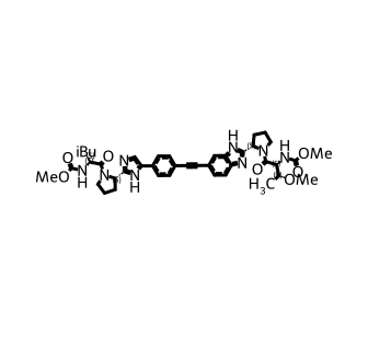 CC[C@H](C)[C@H](NC(=O)OC)C(=O)N1CCC[C@H]1c1ncc(-c2ccc(C#Cc3ccc4nc([C@@H]5CCCN5C(=O)[C@@H](NC(=O)OC)[C@@H](C)OC)[nH]c4c3)cc2)[nH]1